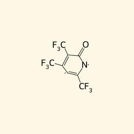 O=C1[N]C(C(F)(F)F)=[C]C(C(F)(F)F)=C1C(F)(F)F